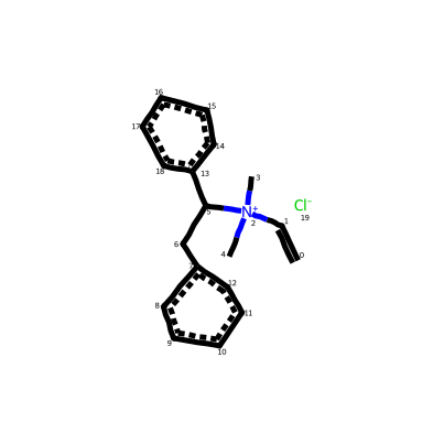 C=C[N+](C)(C)C(Cc1ccccc1)c1ccccc1.[Cl-]